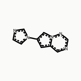 c1cn(-c2cc3cncnn3c2)cn1